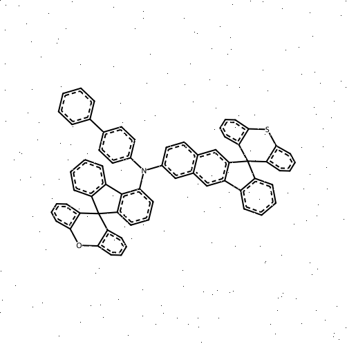 c1ccc(-c2ccc(N(c3ccc4cc5c(cc4c3)-c3ccccc3C53c4ccccc4Sc4ccccc43)c3cccc4c3-c3ccccc3C43c4ccccc4Oc4ccccc43)cc2)cc1